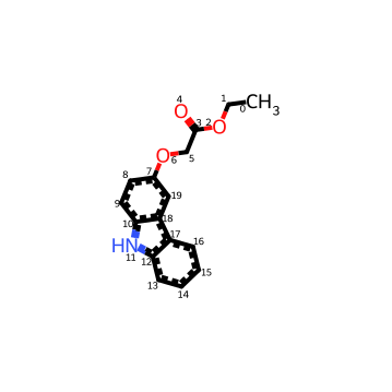 CCOC(=O)COc1ccc2[nH]c3ccccc3c2c1